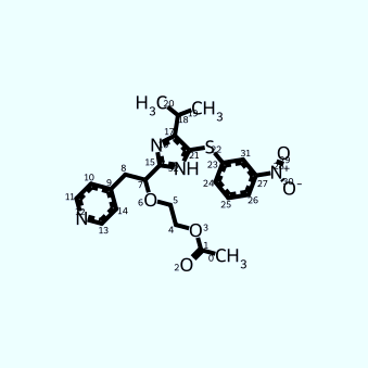 CC(=O)OCCOC(Cc1ccncc1)c1nc(C(C)C)c(Sc2cccc([N+](=O)[O-])c2)[nH]1